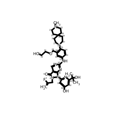 C=C(F)Cn1c(=O)c2cnc(Nc3ccc(N4CCC5(CCN(C)CC5)CC4)c(COCCO)c3)nc2n1-c1cc(O)cc(C(C)(C)O)n1